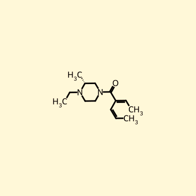 C/C=C\C(=C/C)C(=O)N1CCN(CC)[C@H](C)C1